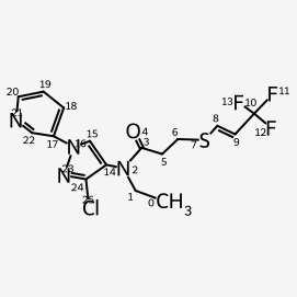 CCN(C(=O)CCSC=CC(F)(F)F)c1cn(-c2cccnc2)nc1Cl